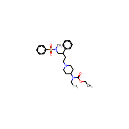 CCOC(=O)N(CC)C1CCN(CCC(CN(C)S(=O)(=O)c2ccccc2)c2ccccc2)CC1